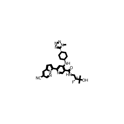 Cn1nnnc1[C@H]1CC[C@H](Nc2cc(-c3ccc4cc(C#N)cnn34)ncc2C(=O)NC[C@@H](F)C(C)(C)O)CC1